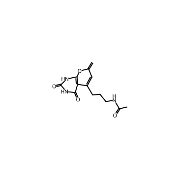 C=C1C=C(CCCNC(C)=O)c2c([nH]c(=O)[nH]c2=O)O1